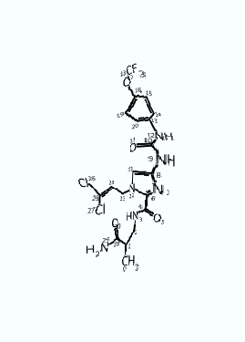 CC(CNC(=O)c1nc(NC(=O)Nc2ccc(OC(F)(F)F)cc2)cn1CC=C(Cl)Cl)C(N)=O